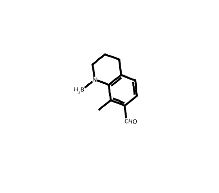 BN1CCCc2ccc(C=O)c(C)c21